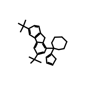 CC(C)(C)c1ccc2c(c1)-c1cc(C(C)(C)C)cc(C3(C4=CC=CC4)CCCCCC3)c1C2